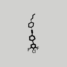 CCCC[C@H]1CC[C@H](C#Cc2ccc(-c3cc(F)c(Cl)c(F)c3)cc2)CC1